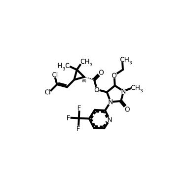 CCOC1C(OC(=O)[C@@H]2C(C=C(Cl)Cl)C2(C)C)N(c2cc(C(F)(F)F)ccn2)C(=O)N1C